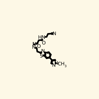 Cn1cc(-c2ccc3nc(Cc4nnc(CC(=O)NCCC#N)o4)sc3c2)cn1